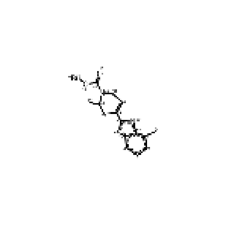 Cc1cccc2sc(C3=CCN(C(=O)OC(C)(C)C)C(C)C3)nc12